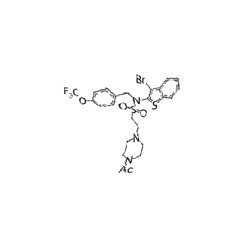 CC(=O)N1CCN(CCS(=O)(=O)N(Cc2ccc(OC(F)(F)F)cc2)c2sc3ccccc3c2Br)CC1